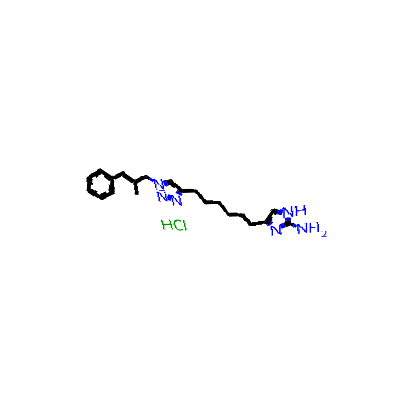 C/C(=C\c1ccccc1)Cn1cc(CCCCCCc2c[nH]c(N)n2)nn1.Cl